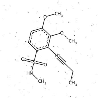 CCC#[N+]c1c(S(=O)(=O)NC)ccc(OC)c1OC